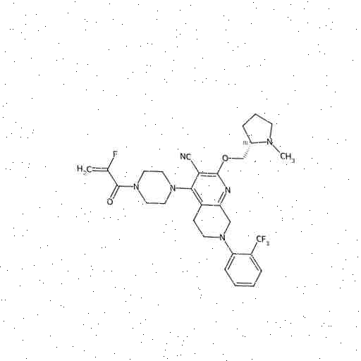 C=C(F)C(=O)N1CCN(c2c(C#N)c(OC[C@@H]3CCCN3C)nc3c2CCN(c2ccccc2C(F)(F)F)C3)CC1